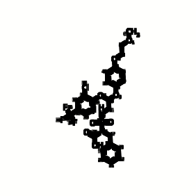 COCCOc1ccc(OC(CNS(=O)(=O)N(Cc2ccccc2)C(=O)O)Oc2ncc(C(F)(F)F)cc2Cl)cc1